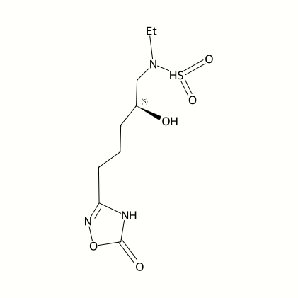 CCN(C[C@@H](O)CCCc1noc(=O)[nH]1)[SH](=O)=O